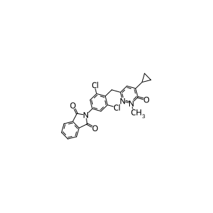 Cn1nc(Cc2c(Cl)cc(N3C(=O)c4ccccc4C3=O)cc2Cl)cc(C2CC2)c1=O